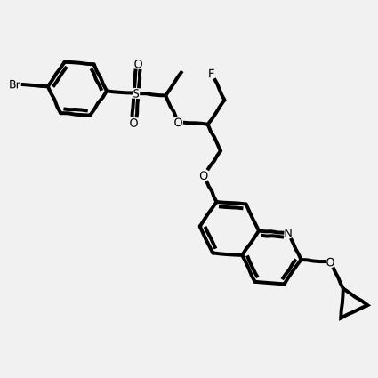 CC(OC(CF)COc1ccc2ccc(OC3CC3)nc2c1)S(=O)(=O)c1ccc(Br)cc1